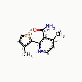 Cc1ccsc1-c1nccc(C)c1C(N)=O